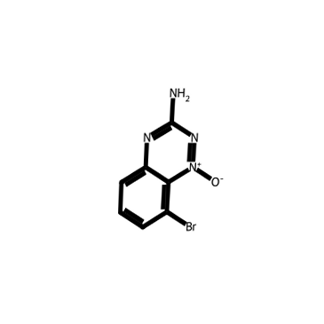 Nc1nc2cccc(Br)c2[n+]([O-])n1